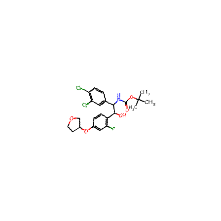 CC(C)(C)OC(=O)NC(c1ccc(Cl)c(Cl)c1)C(O)c1ccc(OC2CCOC2)cc1F